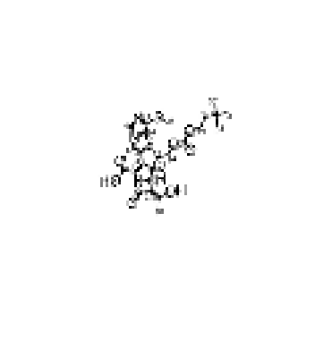 CSc1ncn2cc(C3=C(C(=O)O)N4C(=O)[C@H]([C@@H](C)O)[C@@H]4[C@@]3(C)CCOC(=O)OCCC(C)(C)C)sc12